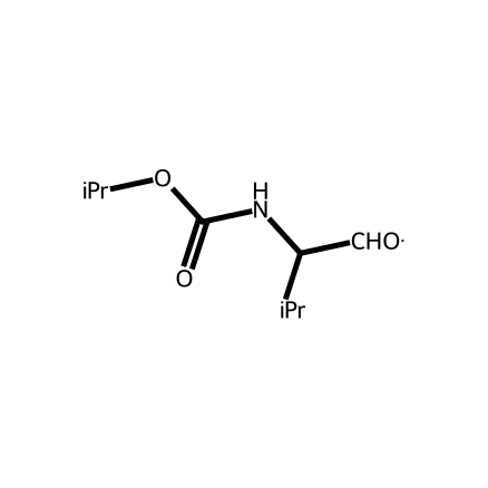 CC(C)OC(=O)NC([C]=O)C(C)C